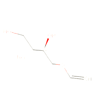 C=COC[C@H](O)[C@H](O)CO